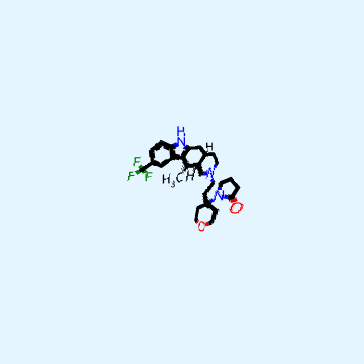 C[C@H]1c2c([nH]c3ccc(C(F)(F)F)cc23)C[C@H]2CCN(CCC3(N4CCCC4=O)CCOCC3)C[C@@H]21